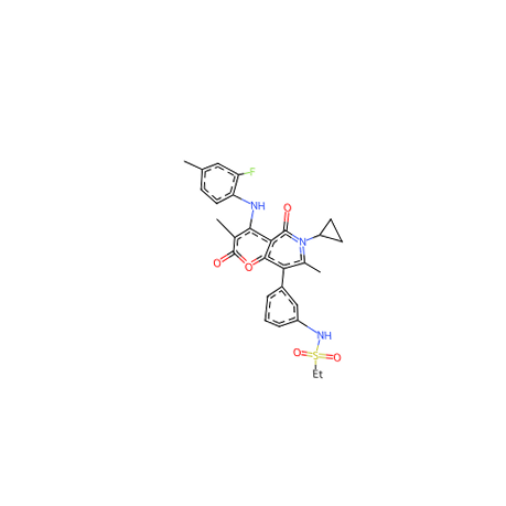 CCS(=O)(=O)Nc1cccc(-c2c(C)n(C3CC3)c(=O)c3c(Nc4ccc(C)cc4F)c(C)c(=O)oc23)c1